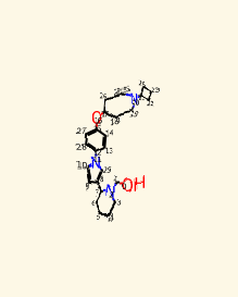 OCN1CCCCC1c1ccn(-c2ccc(OC3CCN(C4CCC4)CC3)cc2)c1